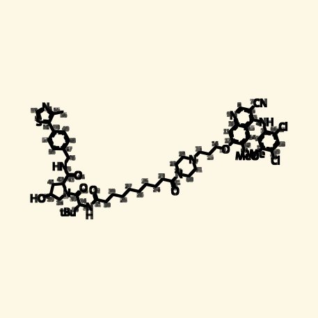 COc1cc(Nc2c(C#N)cnc3cc(OCCCN4CCN(C(=O)CCCCCCCCC(=O)N[C@H](C(=O)N5CC(O)CC5C(=O)NCc5ccc(-c6scnc6C)cc5)C(C)(C)C)CC4)c(OC)cc23)c(Cl)cc1Cl